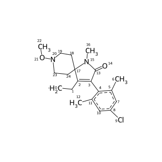 [CH2]CC1=C(c2c(C)cc(Cl)cc2C)C(=O)N(C)C12CCN(OC)CC2